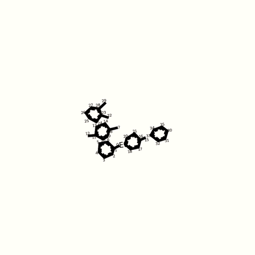 CCc1ccccc1.Cc1ccc(C)cc1.Cc1ccccc1.Cc1ccccc1C.c1ccccc1